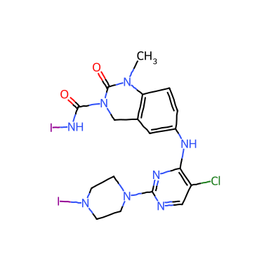 CN1C(=O)N(C(=O)NI)Cc2cc(Nc3nc(N4CCN(I)CC4)ncc3Cl)ccc21